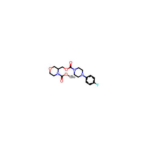 CC(C)(C)OC(=O)N1CCOCC1COC(=O)N1CCN(c2ccc(F)cc2)CC1